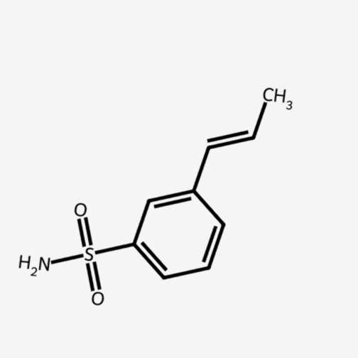 C/C=C/c1cccc(S(N)(=O)=O)c1